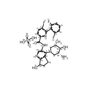 C[C@H]1CN(c2c(NC(=O)c3ccc(F)c(-c4c(F)cccc4F)n3)cnc3c2CCC3O)C[C@@H](N)[C@@H]1O.O=S(=O)(O)O